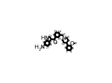 COc1ccccc1C1CCN(Cc2cccc(C(=O)C3CNc4cc(N)ccc43)c2)CC1